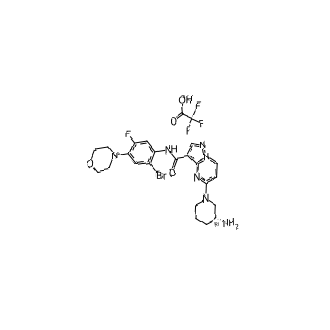 N[C@@H]1CCCN(c2ccn3ncc(C(=O)Nc4cc(F)c(N5CCOCC5)cc4Br)c3n2)C1.O=C(O)C(F)(F)F